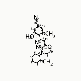 C=C1CCCC[C@H]1N1CCOc2cc(-c3c(C)cc(C#N)cc3O)nnc21